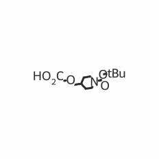 CC(C)(C)OC(=O)N1CCC(COCC(=O)O)CC1